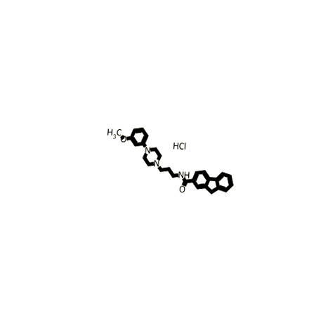 COc1cccc(N2CCN(CCCNC(=O)c3ccc4c(c3)Cc3ccccc3-4)CC2)c1.Cl